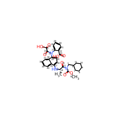 COC(=O)N(CC1CCCCC1)C(=O)[C@H](C)Nc1ccc(N(C(=O)C(=O)O)c2ccccc2C(=O)O)c2ccccc12